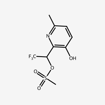 Cc1ccc(O)c(C(OS(C)(=O)=O)C(F)(F)F)n1